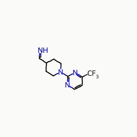 N=CC1CCN(c2nccc(C(F)(F)F)n2)CC1